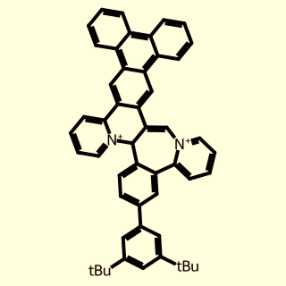 CC(C)(C)c1cc(-c2ccc3c(c2)-c2cccc[n+]2C=C2c4cc5c6ccccc6c6ccccc6c5cc4-c4cccc[n+]4C23)cc(C(C)(C)C)c1